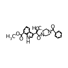 COC(=O)c1cccc2c(C(=O)C(=O)N3CCN(C(=O)c4ccccc4)C[C@H]3C)c[nH]c12